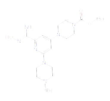 CC(C)(C)OC(=O)N1CCN(c2cc(/C(N)=N/O)nc(N3CCN(C(C)(C)C)CC3)c2)CC1